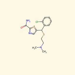 CN(C)CCSC(c1cnc(C(N)=O)s1)c1ccccc1Cl